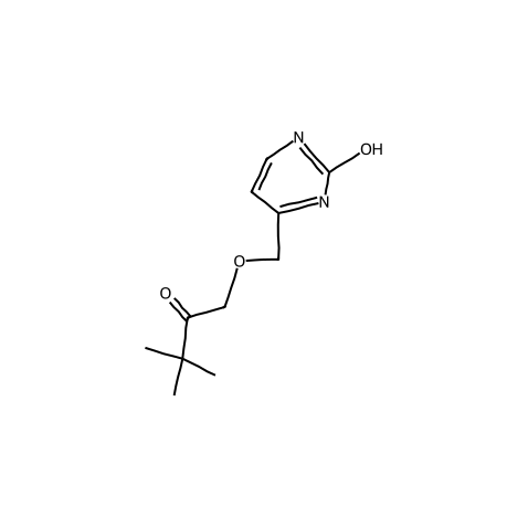 CC(C)(C)C(=O)COCc1ccnc(O)n1